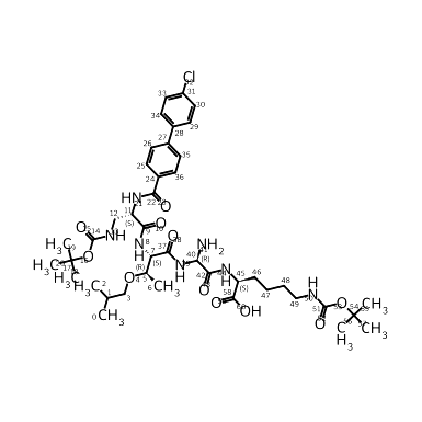 CC(C)CO[C@H](C)[C@H](NC(=O)[C@H](CNC(=O)OC(C)(C)C)NC(=O)c1ccc(-c2ccc(Cl)cc2)cc1)C(=O)N[C@@H](N)C(=O)N[C@@H](CCCCNC(=O)OC(C)(C)C)C(=O)O